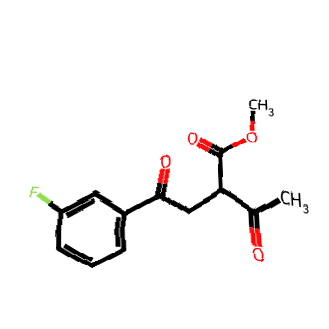 COC(=O)C(CC(=O)c1cccc(F)c1)C(C)=O